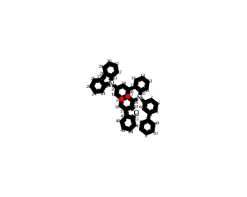 c1ccc(-c2cccc(N(c3ccccc3-c3cccc(-n4c5ccccc5c5ccccc54)c3)c3cccc4c3oc3ccccc34)c2)cc1